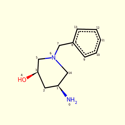 N[C@H]1C[C@@H](O)CN(Cc2ccccc2)C1